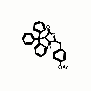 CC(=O)Oc1ccc(CC2SC(=O)C(C(c3ccccc3)(c3ccccc3)c3ccccc3)C2=O)cc1